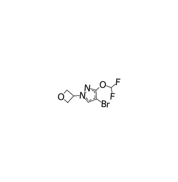 FC(F)Oc1nn(C2COC2)cc1Br